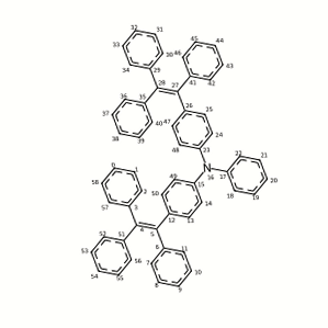 c1ccc(C(=C(c2ccccc2)c2ccc(N(c3ccccc3)c3ccc(C(=C(c4ccccc4)c4ccccc4)c4ccccc4)cc3)cc2)c2ccccc2)cc1